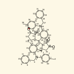 Cc1ccc(N(Cc2ccccc2)c2ccc(F)[c]([Ti]([c]3c(F)ccc(N(Cc4ccccc4)c4ccc(C)cc4)c3F)([CH]3CCC(=O)C3=O)[CH]3CCC(=O)C3=O)c2F)cc1